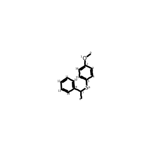 COc1ccc(SC(C)c2ccccc2)cc1